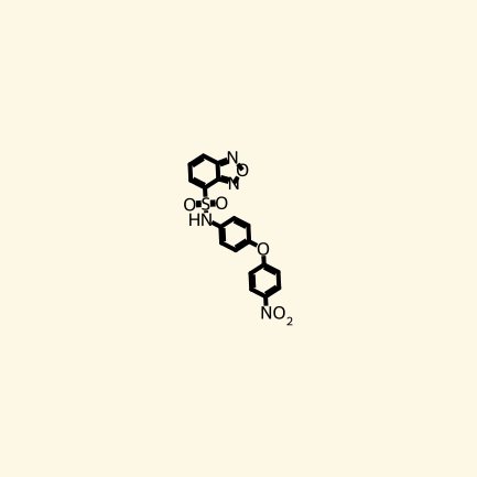 O=[N+]([O-])c1ccc(Oc2ccc(NS(=O)(=O)c3cccc4nonc34)cc2)cc1